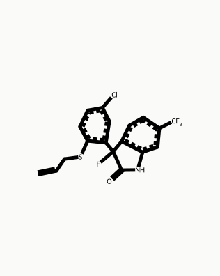 C=CCSc1ccc(Cl)cc1C1(F)C(=O)Nc2cc(C(F)(F)F)ccc21